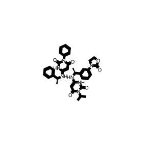 CC(C)n1c(=O)cc(N[C@@H](C)c2cccc(N3CCOC3=O)c2)[nH]c1=O.C[C@H](Nc1cc(=O)n(-c2ccccc2)c(=O)[nH]1)c1ccccc1